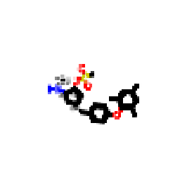 Cc1cc(C)c(Oc2ccc(C[C@@H]3C[C@@H](NC(C)(C)C)[C@H](OS(C)(=O)=O)C3)cc2)c(C)c1